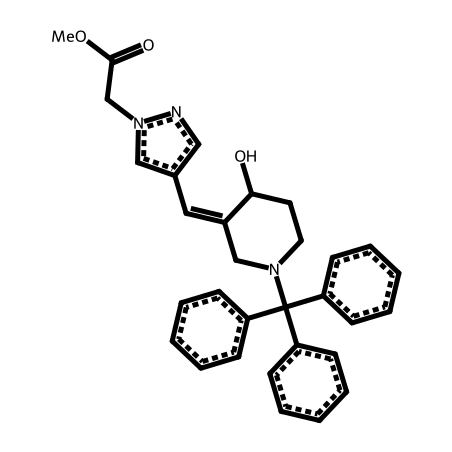 COC(=O)Cn1cc(/C=C2/CN(C(c3ccccc3)(c3ccccc3)c3ccccc3)CCC2O)cn1